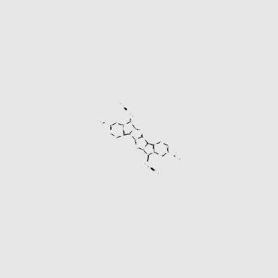 N#C/N=c1\c2cc(C(F)(F)F)ccc2c2c1sc1c2sc2/c(=N/C#N)c3cc(C(F)(F)F)ccc3c21